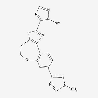 CC(C)n1ncnc1-c1nc2c(s1)CCOc1cc(-c3cn(C)cn3)ccc1-2